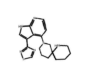 c1cc(N2CCCC3(CCCCN3)C2)c2c(-c3ncsn3)c[nH]c2n1